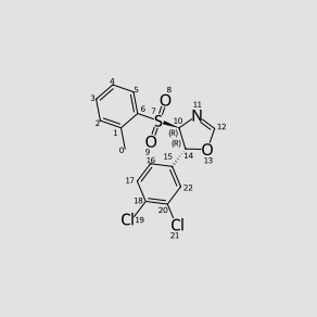 Cc1ccccc1S(=O)(=O)[C@H]1N=CO[C@@H]1c1ccc(Cl)c(Cl)c1